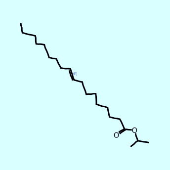 CCCCCCCC/C=C/CCCCCCCC(=O)OC(C)C